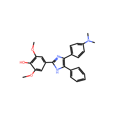 COc1cc(-c2nc(-c3ccc(N(C)C)cc3)c(-c3ccccc3)[nH]2)cc(OC)c1O